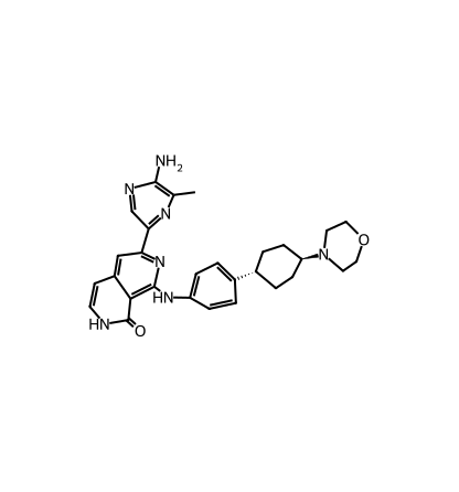 Cc1nc(-c2cc3cc[nH]c(=O)c3c(Nc3ccc([C@H]4CC[C@H](N5CCOCC5)CC4)cc3)n2)cnc1N